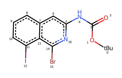 CC(C)(C)OC(=O)Nc1cc2cccc(I)c2c(Br)n1